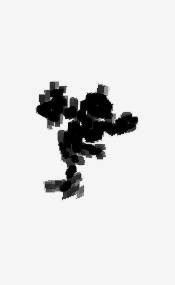 CC(C)(CCc1ccc(-c2ccc(Cl)c3c(N(C(=O)OCCNC(=N)N)S(C)(=O)=O)nn(CC(F)(F)F)c23)c([C@H](Cc2cc(F)cc(F)c2)NC(=O)Cn2nc(C(F)(F)F)c3c2C(F)(F)C2C[C@H]32)n1)S(C)(=O)=O